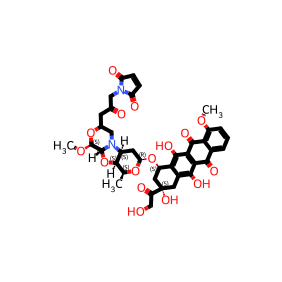 COc1cccc2c1C(=O)c1c(O)c3c(c(O)c1C2=O)C[C@@](O)(C(=O)CO)C[C@@H]3O[C@H]1C[C@H]2[C@H](O[C@@H]3[C@@H](OC)OC(CC(=O)CN4C(=O)C=CC4=O)CN32)[C@H](C)O1